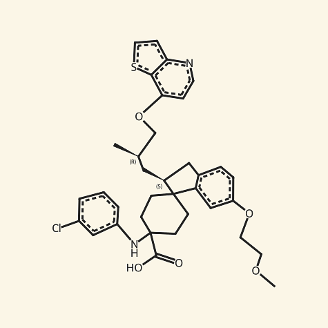 COCCOc1ccc2c(c1)C1(CCC(Nc3cccc(Cl)c3)(C(=O)O)CC1)[C@@H](C[C@@H](C)COc1ccnc3ccsc13)C2